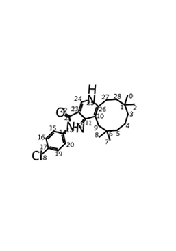 CC1(C)CCCC(C)(C)Cc2c3nn(-c4ccc(Cl)cc4)c(=O)c-3c[nH]c2CC1